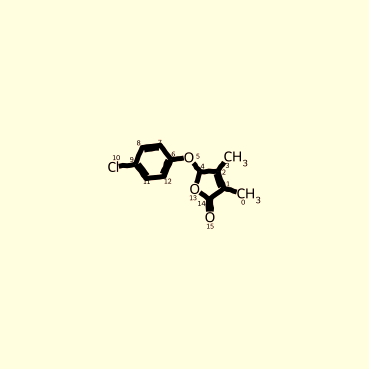 CC1=C(C)C(Oc2ccc(Cl)cc2)OC1=O